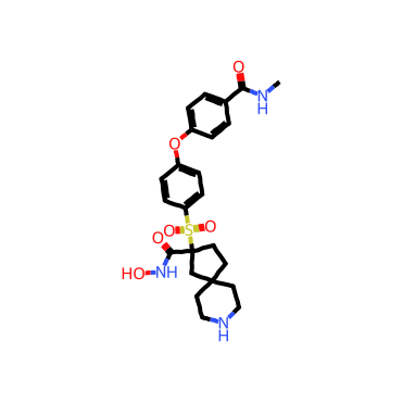 CNC(=O)c1ccc(Oc2ccc(S(=O)(=O)C3(C(=O)NO)CCC4(CCNCC4)C3)cc2)cc1